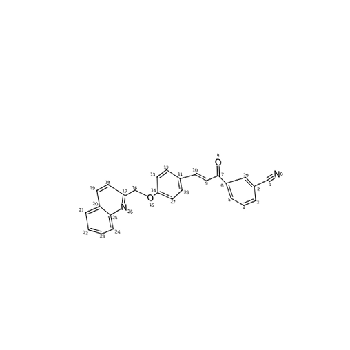 N#Cc1cccc(C(=O)C=Cc2ccc(OCc3ccc4ccccc4n3)cc2)c1